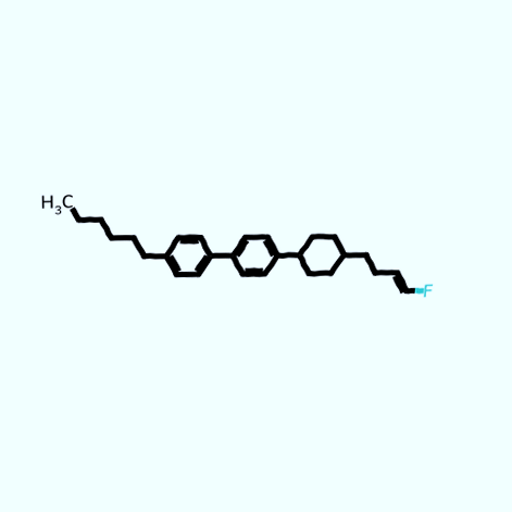 CCCCCCc1ccc(-c2ccc(C3CCC(CCC=CF)CC3)cc2)cc1